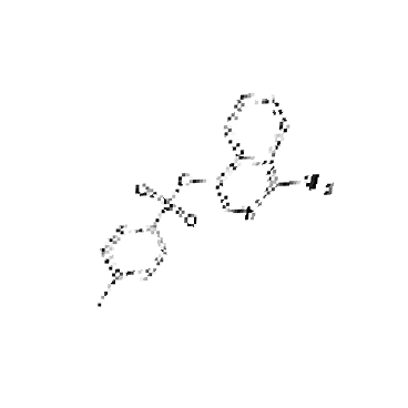 Cc1ccc(S(=O)(=O)Oc2cnc(N)c3ccccc23)cc1